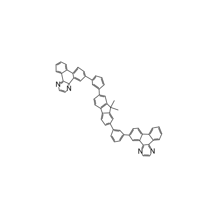 CC1(C)c2cc(-c3cccc(-c4ccc5c6ccccc6c6nccnc6c5c4)c3)ccc2-c2ccc(-c3cccc(-c4ccc5c6ccccc6c6nccnc6c5c4)c3)cc21